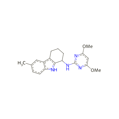 COc1cc(OC)nc(NC2CCCc3c2[nH]c2ccc(C)cc32)n1